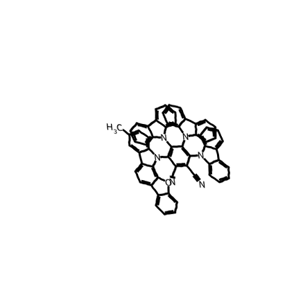 Cc1ccc2c(c1)c1ccc3c4ccccc4oc3c1n2-c1c(C#N)c(C#N)c(-n2c3ccccc3c3ccccc32)c(-n2c3ccccc3c3ccccc32)c1-n1c2ccccc2c2ccccc21